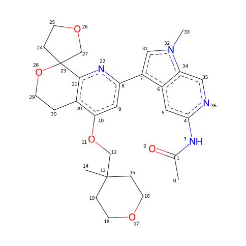 CC(=O)Nc1cc2c(-c3cc(OCC4(C)CCOCC4)c4c(n3)C3(CCOC3)OCC4)cn(C)c2cn1